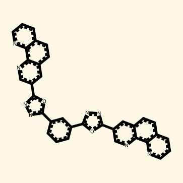 c1cc(-c2nnc(-c3cnc4c(ccc5cccnc54)c3)o2)cc(-c2nnc(-c3cnc4c(ccc5cccnc54)c3)o2)c1